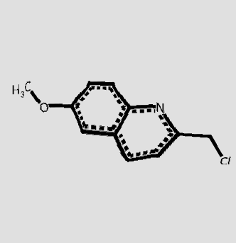 COc1ccc2nc(CCl)ccc2c1